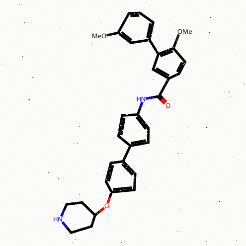 COc1cccc(-c2cc(C(=O)Nc3ccc(-c4ccc(OC5CCNCC5)cc4)cc3)ccc2OC)c1